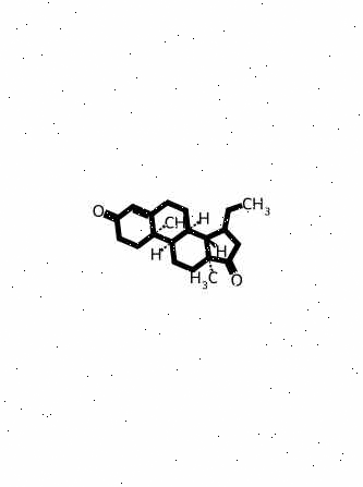 CCC1CC(=O)[C@@]2(C)CC[C@@H]3[C@@H](CCC4=CC(=O)CC[C@@]43C)[C@H]12